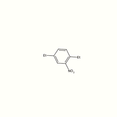 CCc1ccc(CC)c([N+](=O)[O-])c1